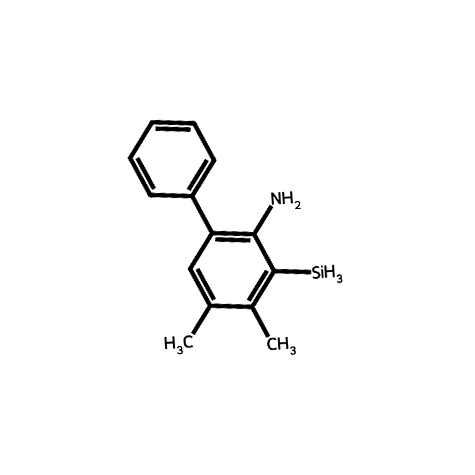 Cc1cc(-c2ccccc2)c(N)c([SiH3])c1C